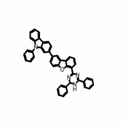 c1ccc(C2=NC(c3cccc4c3oc3ccc(-c5ccc6c7ccccc7n(-c7ccccc7)c6c5)cc34)=NC(c3ccccc3)N2)cc1